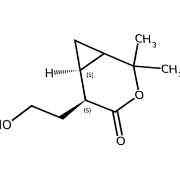 CC1(C)OC(=O)[C@@H](CCO)[C@H]2CC21